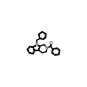 O=C(c1ccccc1)N1CCc2c(n(Cc3ccccc3)c3ccccc23)C1